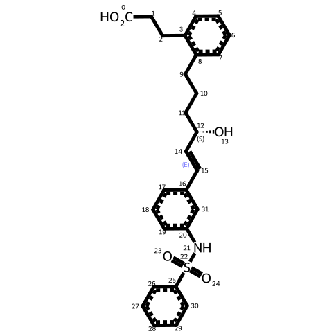 O=C(O)CCc1ccccc1CCC[C@H](O)/C=C/c1cccc(NS(=O)(=O)c2ccccc2)c1